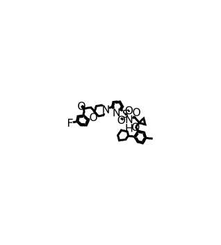 Cc1ccc(C2CCCCC2)c(OC2(C(=O)NS(=O)(=O)c3cccc(N4CCC5(CC4)CC(=O)c4cc(F)ccc4O5)n3)CC2)c1